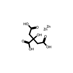 O=C(O)CC(O)(CC(=O)O)C(=O)O.[Zn].[Zn]